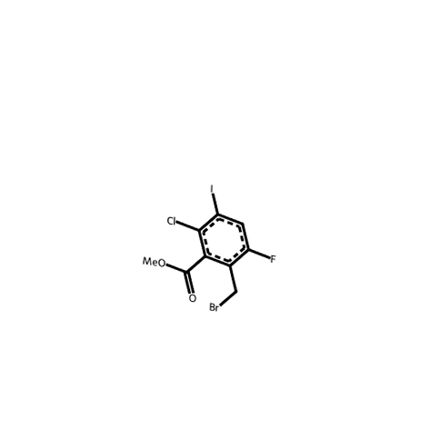 COC(=O)c1c(Cl)c(I)cc(F)c1CBr